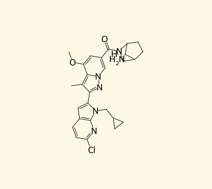 COc1cc(C(=O)N2CC3CCC2[C@@H]3N)cn2nc(-c3cc4ccc(Cl)nc4n3CC3CC3)c(C)c12